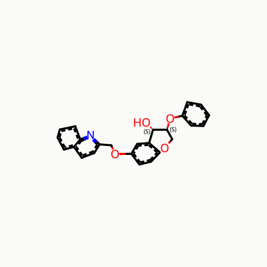 O[C@H]1c2cc(OCc3ccc4ccccc4n3)ccc2OC[C@@H]1Oc1ccccc1